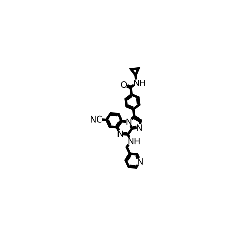 N#Cc1ccc2c(c1)nc(NCc1cccnc1)c1ncc(-c3ccc(C(=O)NC4CC4)cc3)n12